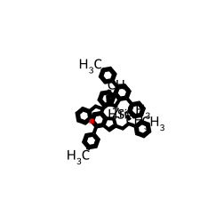 Cc1ccc(-c2ccc(-c3ccc(C)cc3)c3c2C=C(CCc2ccccc2)[CH]3[Zr]([CH]2C(CCc3ccccc3)=Cc3c(-c4ccc(C)cc4)ccc(-c4ccc(C)cc4)c32)[SiH](C)C)cc1